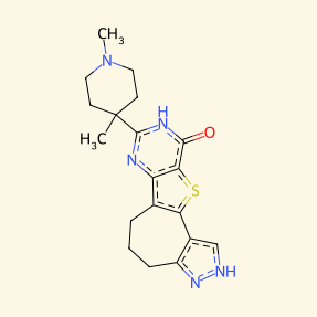 CN1CCC(C)(c2nc3c4c(sc3c(=O)[nH]2)-c2c[nH]nc2CCC4)CC1